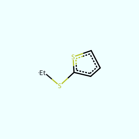 C[CH]Sc1cccs1